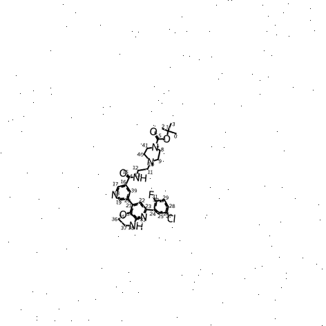 CC(C)(C)OC(=O)N1CCN(CCNC(=O)c2cncc(-c3cc(-c4cc(Cl)ccc4F)nc4c3OCCN4)c2)CC1